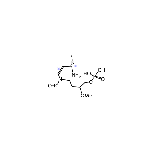 C/N=C(N)\C=C/N(C=O)CCC(COP(=O)(O)O)OC